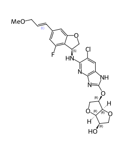 COC/C=C/c1cc(F)c2c(c1)OC[C@H]2Nc1nc2nc(O[C@@H]3CO[C@H]4[C@@H]3OC[C@H]4O)[nH]c2cc1Cl